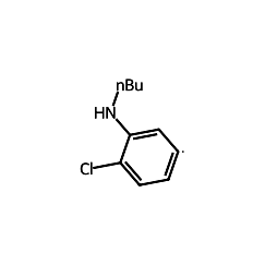 CCCCNc1c[c]ccc1Cl